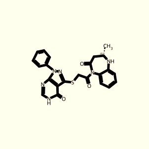 C[C@H]1CC(=O)N(C(=O)CSc2nn(-c3ccccc3)c3nc[nH]c(=O)c23)c2ccccc2N1